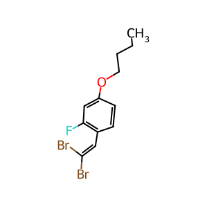 CCCCOc1ccc(C=C(Br)Br)c(F)c1